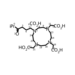 CC(C)C(=O)CC[C@H](C(=O)O)N1CCN(CC(=O)O)CCN(CC(=O)O)CCN(CC(=O)O)CC1